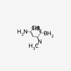 B=C(B)C(/C=C(\C)N)=N/C